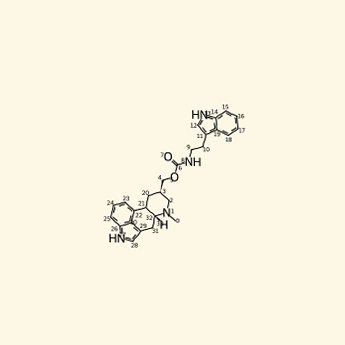 CN1C[C@H](COC(=O)NCCc2c[nH]c3ccccc23)CC2c3cccc4[nH]cc(c34)C[C@H]21